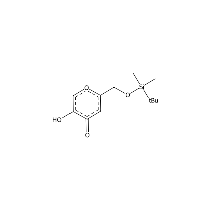 CC(C)(C)[Si](C)(C)OCc1cc(=O)c(O)co1